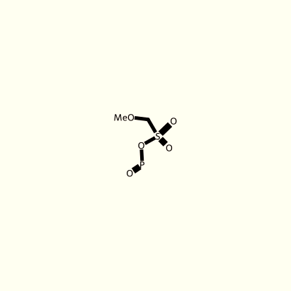 COCS(=O)(=O)OP=O